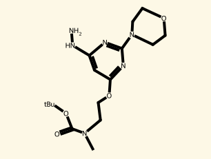 CN(CCOc1cc(NN)nc(N2CCOCC2)n1)C(=O)OC(C)(C)C